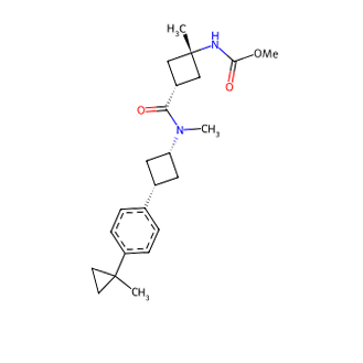 COC(=O)N[C@]1(C)C[C@H](C(=O)N(C)[C@H]2C[C@@H](c3ccc(C4(C)CC4)cc3)C2)C1